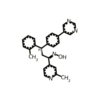 Cc1cc(C(C[C@H](c2ccc(-c3cncnc3)cc2)c2ccccc2C)=NO)ccn1